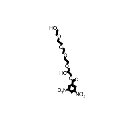 O=C(OCC(O)COCCOCCOCCOCCO)c1cc([N+](=O)[O-])cc([N+](=O)[O-])c1